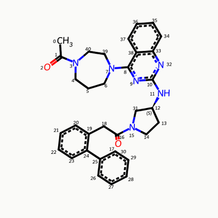 CC(=O)N1CCCN(c2nc(N[C@H]3CCN(C(=O)Cc4ccccc4-c4ccccc4)C3)nc3ccccc23)CC1